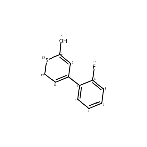 OC1=CC(c2ccccc2F)=CCS1